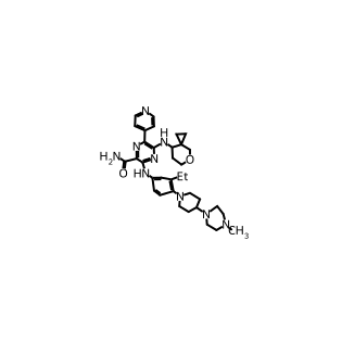 CCc1cc(Nc2nc(NC3CCOCC34CC4)c(-c3ccncc3)nc2C(N)=O)ccc1N1CCC(N2CCN(C)CC2)CC1